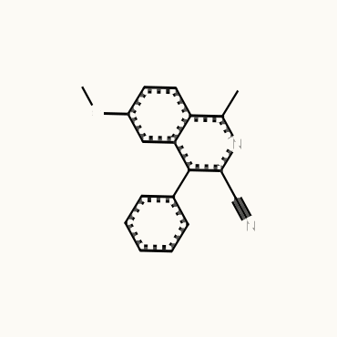 COc1ccc2c(C)nc(C#N)c(-c3ccccc3)c2c1